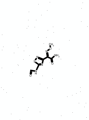 CON=C(C(N)=O)c1nsc(NC=O)n1